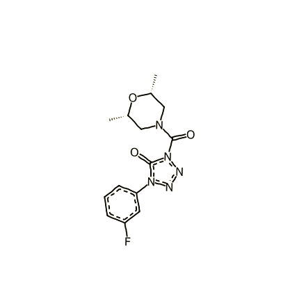 C[C@@H]1CN(C(=O)n2nnn(-c3cccc(F)c3)c2=O)C[C@H](C)O1